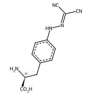 N#CC(C#N)=NNc1ccc(C[C@H](N)C(=O)O)cc1